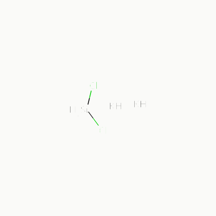 Cl[SiH2]Cl.[KH].[KH]